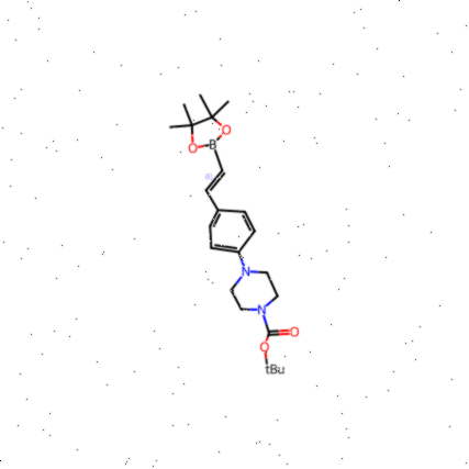 CC(C)(C)OC(=O)N1CCN(c2ccc(/C=C/B3OC(C)(C)C(C)(C)O3)cc2)CC1